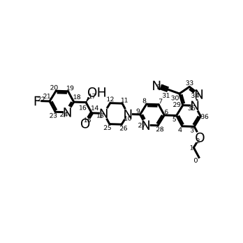 CCOc1cc(-c2ccc(N3CCN(C(=O)[C@H](O)c4ccc(F)cn4)CC3)nc2)c2c(C#N)cnn2c1